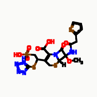 CO[C@@]1(NC(=O)Cc2cccs2)C(=O)N2C(C(=O)O)=C(C(CS(=O)(=O)O)Sc3nnn[nH]3)CS[C@H]21